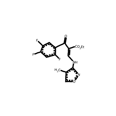 CCOC(=O)C(=CNc1nocc1C)C(=O)c1cc(F)c(F)cc1F